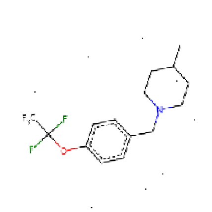 CC1CCN(Cc2ccc(OC(F)(F)C(F)(F)F)cc2)CC1